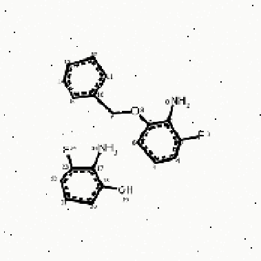 Nc1c(F)cccc1OCc1ccccc1.Nc1c(O)cccc1F